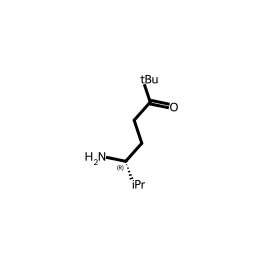 CC(C)[C@H](N)CCC(=O)C(C)(C)C